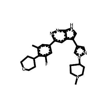 Cc1cc(-c2cc3c(-c4cnn(C5CCN(C)CC5)c4)c[nH]c3nn2)cc(F)c1C1CCOCC1